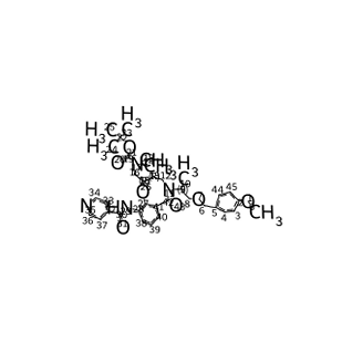 COc1ccc(COC[C@H](C)N2C[C@@H](C)[C@H](CN(C)C(=O)OC(C)(C)C)Oc3c(NC(=O)c4ccncc4)cccc3C2=O)cc1